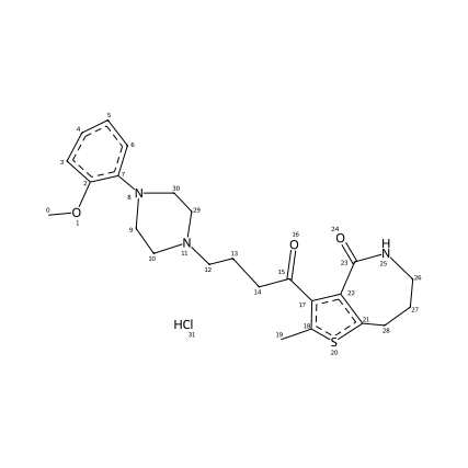 COc1ccccc1N1CCN(CCCC(=O)c2c(C)sc3c2C(=O)NCCC3)CC1.Cl